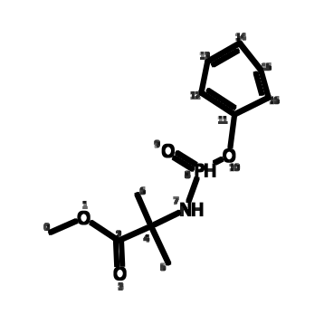 COC(=O)C(C)(C)N[PH](=O)Oc1ccccc1